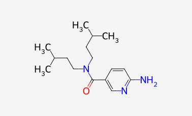 CC(C)CCN(CCC(C)C)C(=O)c1ccc(N)nc1